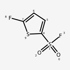 O=S(=O)(F)c1ccc(F)s1